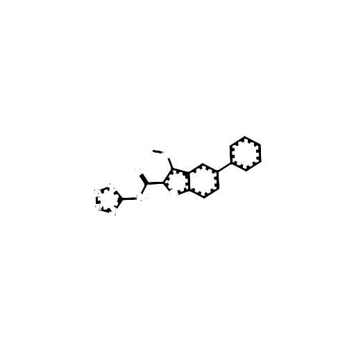 CC(C)Oc1c(C(=O)Nc2nnn[nH]2)oc2ccc(-c3ccccc3)cc12